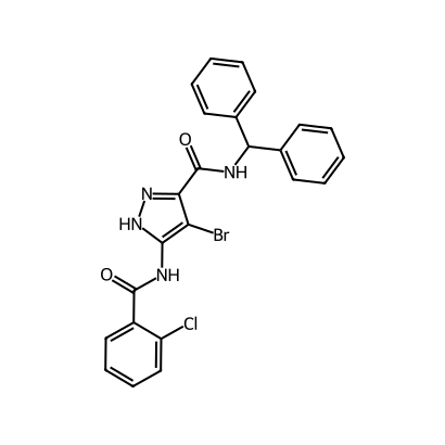 O=C(Nc1[nH]nc(C(=O)NC(c2ccccc2)c2ccccc2)c1Br)c1ccccc1Cl